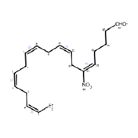 CC/C=C\C/C=C\C/C=C\C/C=C\C/C(=C\CCC[C]=O)[N+](=O)[O-]